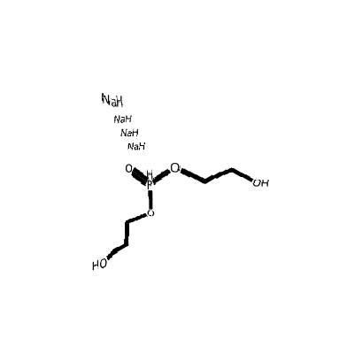 O=[PH](OCCO)OCCO.[NaH].[NaH].[NaH].[NaH]